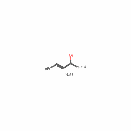 CCCC=CC(O)C(C)CCC.[NaH]